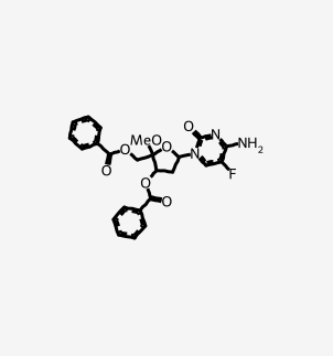 COC1(COC(=O)c2ccccc2)OC(n2cc(F)c(N)nc2=O)CC1OC(=O)c1ccccc1